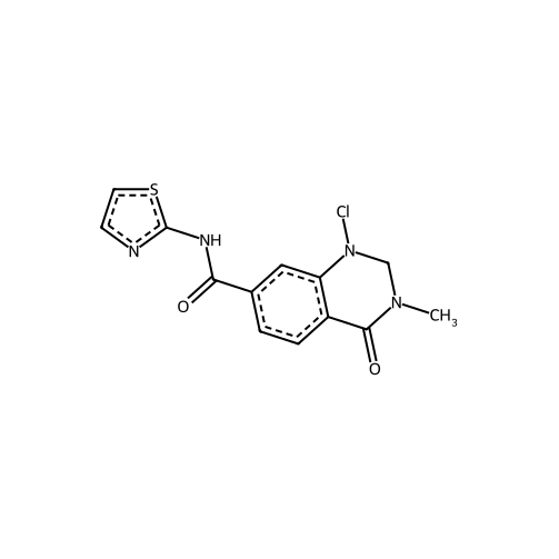 CN1CN(Cl)c2cc(C(=O)Nc3nccs3)ccc2C1=O